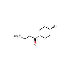 CC[C@H]1CC[C@H](C(=O)CCC(=O)O)CC1